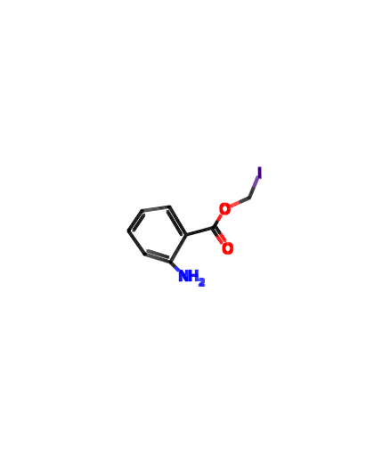 Nc1ccccc1C(=O)OCI